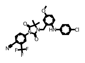 COc1ccc(Nc2ccc(Cl)cc2)c(CN2C(=O)N(c3ccc(C#N)c(C(F)(F)F)c3)C(=O)C2(C)C)c1